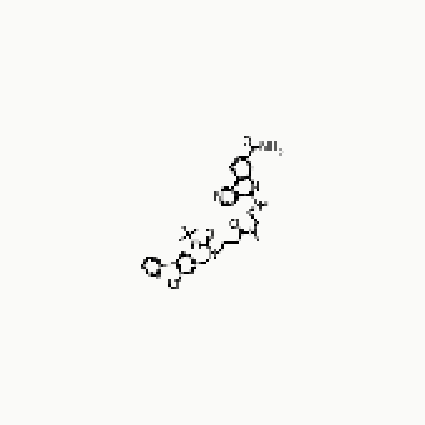 CN(CCN(C)c1nc2cc(C(N)=O)ccc2c2cnccc12)C(=O)CCCN(Cc1ccc(-c2ccccc2)c(Cl)c1)C(=O)OC(C)(C)C